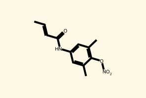 CC=CC(=O)Nc1cc(C)c(O[N+](=O)[O-])c(C)c1